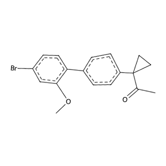 COc1cc(Br)ccc1-c1ccc(C2(C(C)=O)CC2)cc1